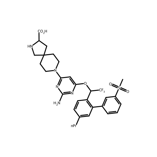 CCCc1ccc(C(Oc2cc(N3CCC4(CC3)CNC(C(=O)O)C4)nc(N)n2)C(F)(F)F)c(-c2cccc(S(C)(=O)=O)c2)c1